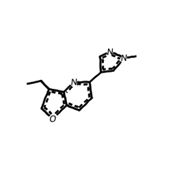 CCc1coc2ccc(-c3cnn(C)c3)nc12